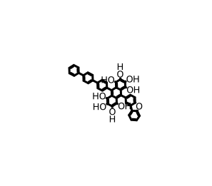 Oc1c(O)c(O)c2c(-c3ccc4oc5ccccc5c4c3)c3c(O)c(O)c(O)c(O)c3c(-c3ccc(-c4ccc(-c5ccccc5)cc4)cc3)c2c1O